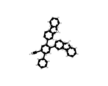 N#Cc1cc(-c2ccc3c(c2)oc2ccccc23)c(-c2ccc3sc4ccccc4c3c2)cc1-c1ccccc1